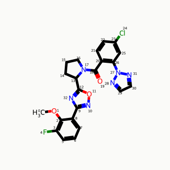 COc1c(F)cccc1-c1noc(C2CCCN2C(=O)c2ccc(Cl)cc2-n2nccn2)n1